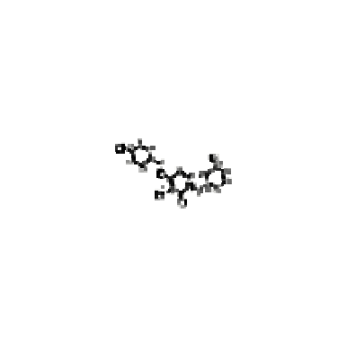 O=c1c(Br)c(OCc2ccc(Cl)cc2)ccn1Cc1cccc(Cl)c1